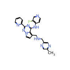 Cc1cnc(CNCc2ccn3nc(-c4ccccn4)nc(Nc4ccncc4F)c23)cn1